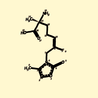 Cc1noc(=O)n1C/C(F)=C\CC[C@](C)(N)C(=O)O